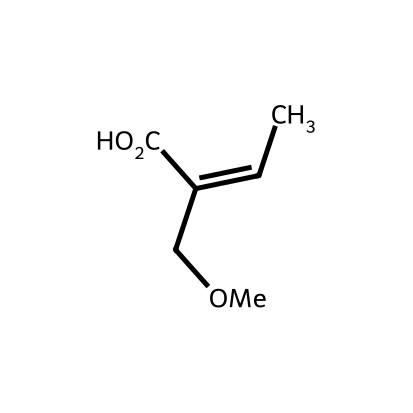 CC=C(COC)C(=O)O